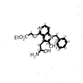 CCOC(=O)COc1nccc2c1c(CC(N)O)c(C)n2Cc1ccccc1